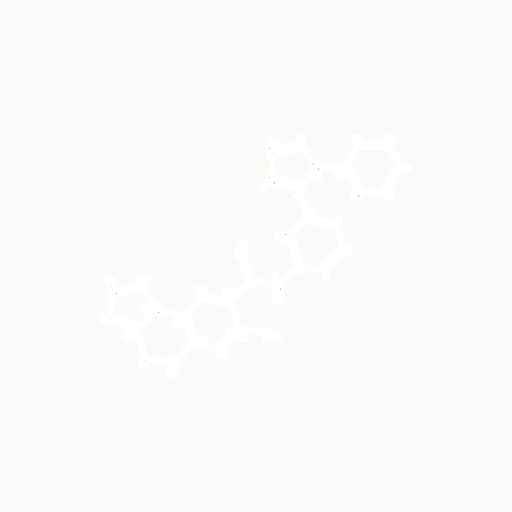 O=C(Nc1cccc(-c2nncn2-c2ccccc2)n1)c1cc2c(cc1F)OCc1cncn1-2